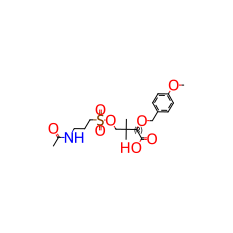 COc1ccc(CO[C@@H](C(=O)O)C(C)(C)COS(=O)(=O)CCCNC(C)=O)cc1